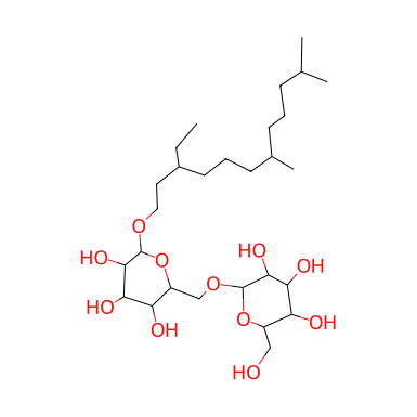 CCC(CCCC(C)CCCC(C)C)CCOC1OC(COC2OC(CO)C(O)C(O)C2O)C(O)C(O)C1O